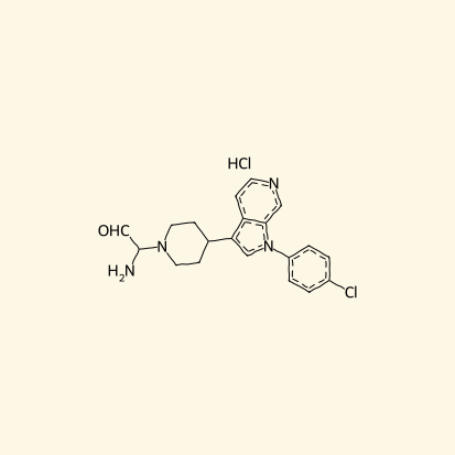 Cl.NC(C=O)N1CCC(c2cn(-c3ccc(Cl)cc3)c3cnccc23)CC1